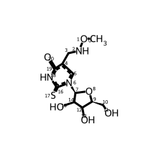 CONCc1cn([C@H]2O[C@@H](CO)C(O)C2O)c(=S)[nH]c1=O